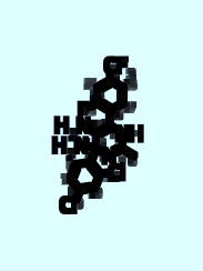 CC1=NC(N)(c2ccc(Cl)cc2Cl)C(N)=C(c2ccc(C(F)(F)F)cc2F)N1